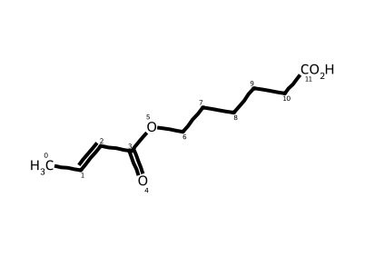 CC=CC(=O)OCCCCCC(=O)O